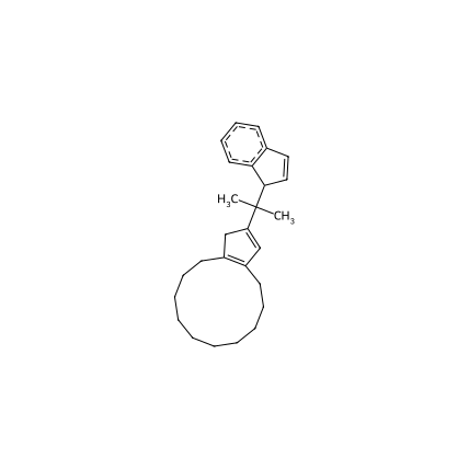 CC(C)(C1=CC2=C(CCCCCCCCCC2)C1)C1C=Cc2ccccc21